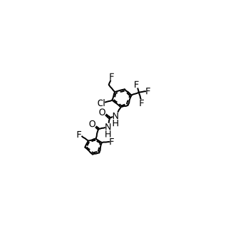 O=C(NC(=O)c1c(F)cccc1F)Nc1cc(C(F)(F)F)cc(CF)c1Cl